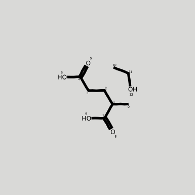 CC(CCC(=O)O)C(=O)O.CCO